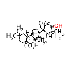 CC(=O)OC[C@]12CC[C@@H](O)C(C)(C)[C@@H]1CC[C@]1(C)[C@@H]2CC=C2[C@@H]3CC(C)(C)CC[C@]3(C(=O)O)CC[C@]21C